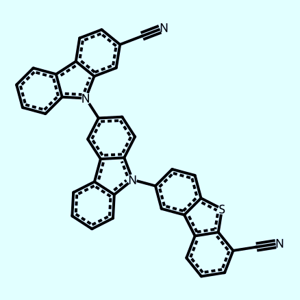 N#Cc1ccc2c3ccccc3n(-c3ccc4c(c3)c3ccccc3n4-c3ccc4sc5c(C#N)cccc5c4c3)c2c1